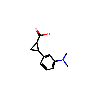 CN(C)c1cccc(C2CC2C(=O)O)c1